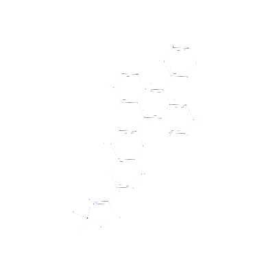 CC1(C)CSC(c2ccc3cc(-c4c5ccccc5c(-c5ccccc5)c5ccccc45)ccc3c2)=N1